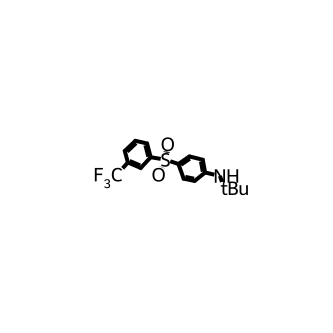 CC(C)(C)Nc1ccc(S(=O)(=O)c2cccc(C(F)(F)F)c2)cc1